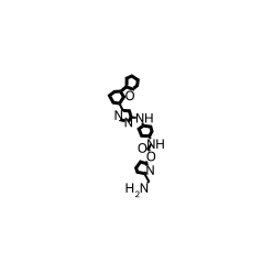 NCc1cccc(OC(=O)Nc2ccc(Nc3cc(-c4cccc5c4oc4ccccc45)ncn3)cc2)n1